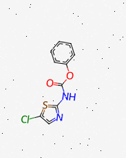 O=C(Nc1ncc(Cl)s1)Oc1ccccc1